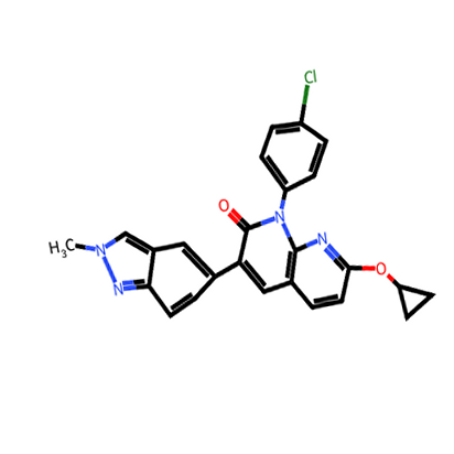 Cn1cc2cc(-c3cc4ccc(OC5CC5)nc4n(-c4ccc(Cl)cc4)c3=O)ccc2n1